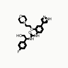 O=C(Nc1ccc(-c2cn[nH]c2)cc1OCCN1CCOCC1)NC(CO)c1ccc(F)cc1